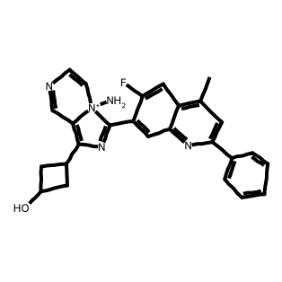 Cc1cc(-c2ccccc2)nc2cc(C3=NC(C4CC(O)C4)=C4C=NC=C[N+]34N)c(F)cc12